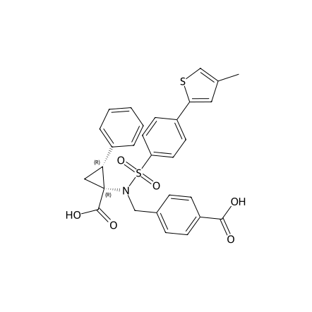 Cc1csc(-c2ccc(S(=O)(=O)N(Cc3ccc(C(=O)O)cc3)[C@]3(C(=O)O)C[C@@H]3c3ccccc3)cc2)c1